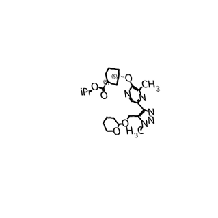 Cc1nc(-c2nnn(C)c2COC2CCCCO2)cnc1O[C@H]1CCC[C@H](C(=O)OC(C)C)C1